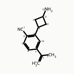 C=C(C)c1ccc(C#N)c(C2CC(N)C2)c1